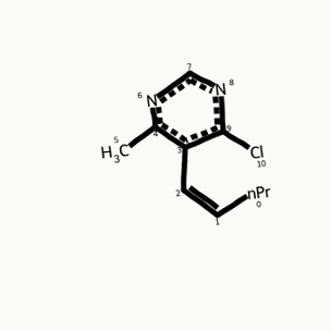 CCC/C=C\c1c(C)ncnc1Cl